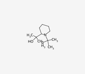 CC(C)(O)C1CCCCN1C(C)(C)C